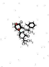 CC(=O)N([C@@H](Cc1ccccc1)C(=O)C(=O)O)N1C(=O)C(C(C)C)SC=C1c1ccccc1